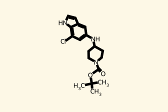 CC(C)(C)OC(=O)N1CCC(Nc2cc(Cl)c3[nH]ccc3c2)CC1